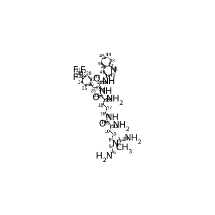 C[N+](CCN)(CCN)CCC[C@H](N)C(=O)NCCC[C@H](N)C(=O)N[C@@H](Cc1ccc(C(F)(F)F)cc1)C(=O)Nc1cnc2ccccc2c1